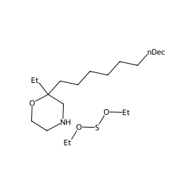 CCCCCCCCCCCCCCCCC1(CC)CNCCO1.CCOSOCC